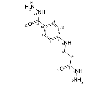 NNC(=O)CCNc1ccc(C(=O)NN)cc1